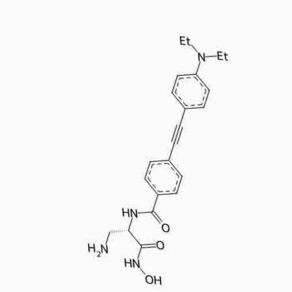 CCN(CC)c1ccc(C#Cc2ccc(C(=O)N[C@@H](CN)C(=O)NO)cc2)cc1